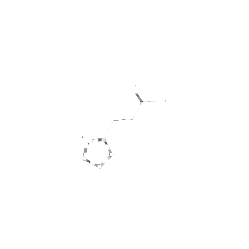 Cn1cccc1CCC(=O)O